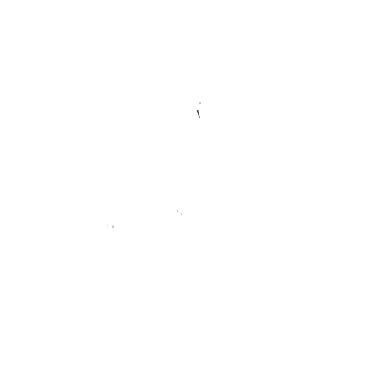 CCCCCCCc1cc(=O)c2ccccc2n1O[C@H]1OC(C(=O)O)[C@@H](O)[C@H](O)C1O